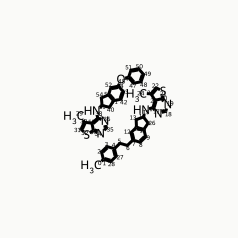 Cc1ccc(CCc2ccc3c(c2)CC(Nc2ncnc4scc(C)c24)C3)cc1.Cc1csc2ncnc(NC3Cc4ccc(Oc5ccccc5)cc4C3)c12